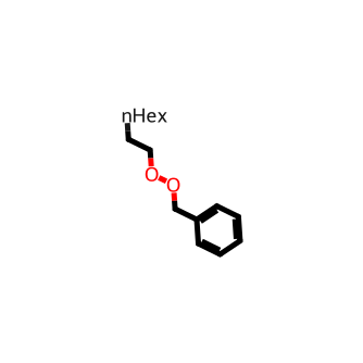 CCCCCCCCOOCc1ccccc1